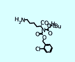 CC(C)(C)OC(=O)N(C(=O)OCc1ccccc1Cl)[C@H](CCCCN)C(=O)O